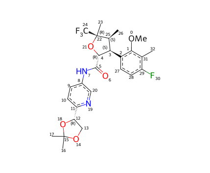 COc1c([C@H]2[C@H](C(=O)Nc3ccc([C@@H]4COC(C)(C)O4)nc3)O[C@@](C)(C(F)(F)F)[C@H]2C)ccc(F)c1C